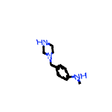 CNc1ccc(CN2CCNCC2)cc1